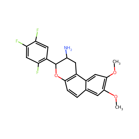 COc1cc2ccc3c(c2cc1OC)CC(N)C(c1cc(F)c(F)cc1F)O3